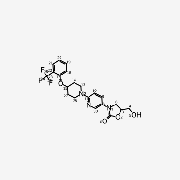 O=C1OC(CO)CN1c1ccc(N2CCC(Oc3ccccc3C(F)(F)F)CC2)nc1